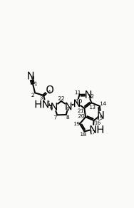 N#CCC(=O)NN1CCN(n2cnc3cnc4[nH]ccc4c32)C1